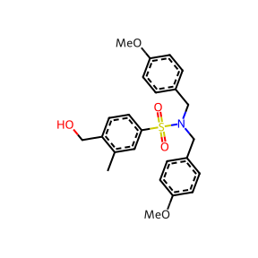 COc1ccc(CN(Cc2ccc(OC)cc2)S(=O)(=O)c2ccc(CO)c(C)c2)cc1